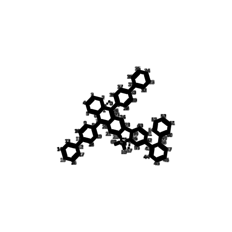 C[C@@]12CC=CC=C1C(c1ccc(-c3ccccc3)cc1)=c1cc3c(cc1=C2c1ccc(-c2ccccc2)cc1)C1C=CC(c2ccccc2-c2ccccc2)=C[C@@]1(C)[Si]3(C)C